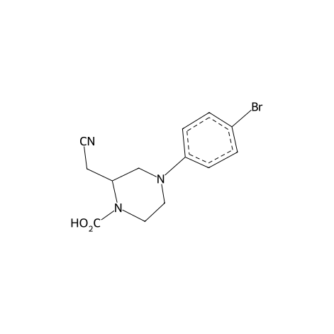 N#CCC1CN(c2ccc(Br)cc2)CCN1C(=O)O